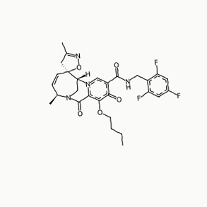 CCCCOc1c2n(cc(C(=O)NCc3c(F)cc(F)cc3F)c1=O)[C@@H]1CN(C2=O)[C@@H](C)C=C[C@]12CC(C)=NO2